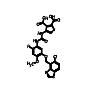 COc1cc(F)c(NC(=O)Nc2csc(C(=O)O)c2C(=O)O)cc1OCc1c(Cl)ccc2scnc12